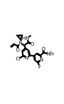 C=CC(=O)N(C1CC1)C(C(=O)NC)c1cc(Cl)nc(-c2cc(F)nc(C(=O)NC)c2)c1